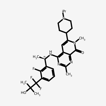 Cc1nc(N[C@H](C)c2cccc(C(F)(F)C(C)(C)O)c2F)c2cc(C3CCN(C(C)C)CC3)n(C)c(=O)c2n1